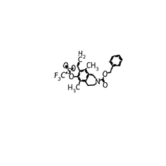 C=Cc1c(C)c2c(c(C)c1OS(=O)(=O)C(F)(F)F)CCN(C(=O)OCc1ccccc1)C2